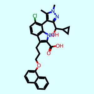 Cc1c(-c2c(Cl)ccc3c(CCCOc4cccc5ccccc45)c(C(=O)O)[nH]c23)c(C(O)C2CC2)nn1C